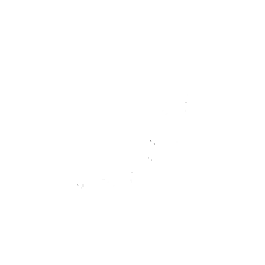 N#Cc1ccc(NNC(=O)c2ccc3c(c2)OCO3)c(C(F)(F)F)c1